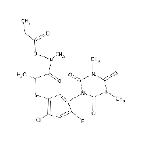 CCC(=O)ON(C)C(=O)C(C)Sc1cc(-n2c(=O)n(C)c(=S)n(C)c2=O)c(F)cc1Cl